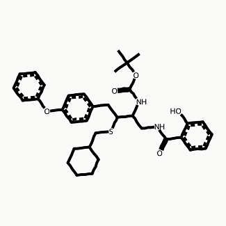 CC(C)(C)OC(=O)NC(CNC(=O)c1ccccc1O)C(Cc1ccc(Oc2ccccc2)cc1)SCC1CCCCC1